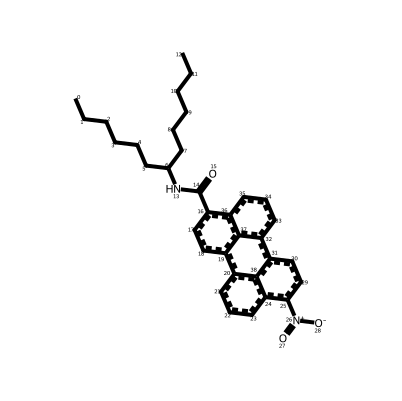 CCCCCCC(CCCCCC)NC(=O)c1ccc2c3cccc4c([N+](=O)[O-])ccc(c5cccc1c25)c43